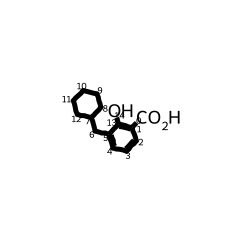 O=C(O)c1cccc(CC2CCCCC2)c1O